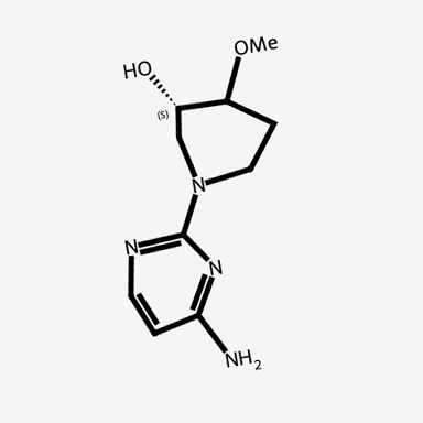 COC1CCN(c2nccc(N)n2)C[C@@H]1O